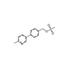 Cc1ccc(-c2ccc(COS(C)(=O)=O)cc2)cn1